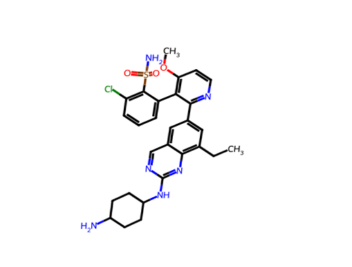 CCc1cc(-c2nccc(OC)c2-c2cccc(Cl)c2S(N)(=O)=O)cc2cnc(NC3CCC(N)CC3)nc12